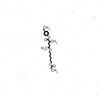 C=CC(=O)OCCCCCCO/C(C)=C/C=C(\C)C(=O)Oc1ccc(CC)cc1